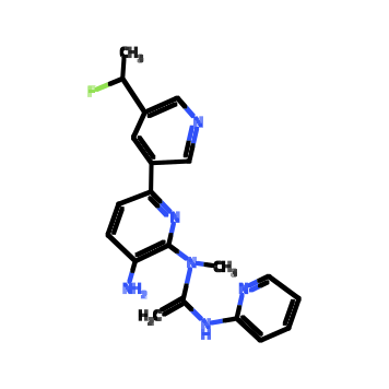 C=C(Nc1ccccn1)N(C)c1nc(-c2cncc(C(C)F)c2)ccc1N